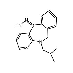 CC(C)CN1Cc2ccccc2-c2n[nH]c3ccnc1c23